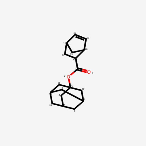 O=C(OC12CC3CC(CC(C3)C1)C2)C1CC2C=CC1C2